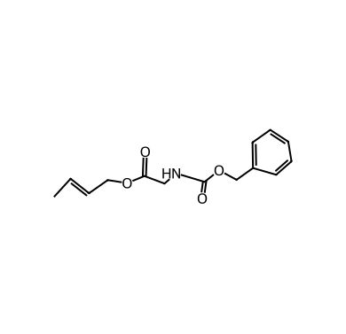 C/C=C/COC(=O)CNC(=O)OCc1ccccc1